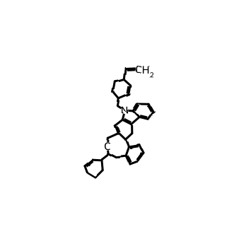 C=CC1C=CC(Cn2c3c(c4ccccc42)CC2C(=C3)CCC(C3C=CCCC3)Cc3ccccc32)CC1